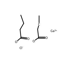 CCCC(=O)[O-].CCCC(=O)[O-].[Cl-].[Ga+3]